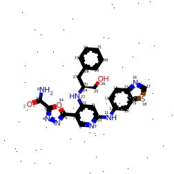 NC(=O)c1nnc(-c2cnc(Nc3ccc4ncsc4c3)cc2N[C@H](CO)Cc2ccccc2)o1